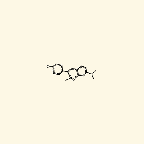 Cc1[o+]c2cc(N(C)C)ccc2cc1-c1ccc(Cl)cc1